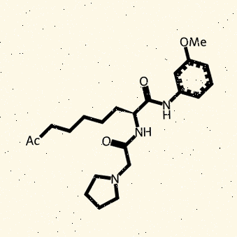 COc1cccc(NC(=O)[C@H](CCCCCC(C)=O)NC(=O)CN2CCCC2)c1